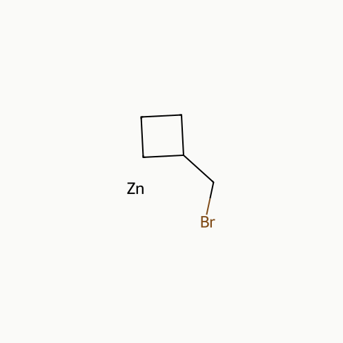 BrCC1CCC1.[Zn]